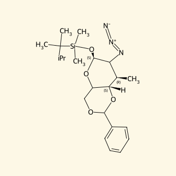 CC(C)C(C)(C)[Si](C)(C)O[C@@H]1OC2COC(c3ccccc3)O[C@H]2[C@H](C)C1N=[N+]=[N-]